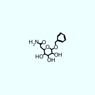 NC(=O)CC1OC(OCc2ccccc2)C(O)C(O)C1O